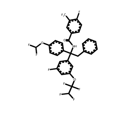 O=C(NC(Cc1ccccc1)(c1ccc(OC(F)F)cc1)c1cc(F)cc(OC(F)(F)C(F)F)c1)c1ccc(F)c(C(F)(F)F)c1